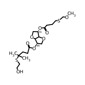 COCSCCCC(=O)O[C@H]1COC2C1OC[C@H]2OC(=O)CCC(C)(C)SCCO